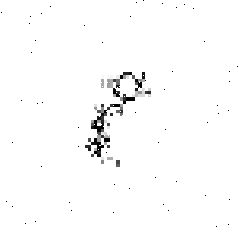 Nc1ncnc2c1ncn2[C@H]1CC[C@@H](C(=O)NCCN2CCNCCNCCNCC2)O1